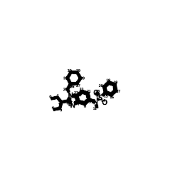 CCC(CC)c1nc2cc(N(C)S(=O)(=O)c3ccccc3)ccc2n1CC1CCCCC1